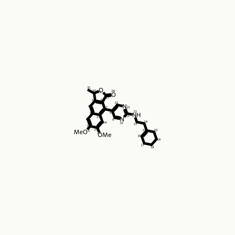 COc1cc2cc3c(c(-c4cnc(NCCC5=CCCCC5)nc4)c2cc1OC)C(=O)OC3C